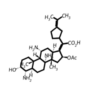 CC(=O)O[C@H]1C[C@@]2(C)[C@@H](C[C@@H](N)[C@H]3[C@@]4(C)CC[C@@H](O)[C@@H](N)[C@@H]4CC[C@@]32N)/C1=C(/C(=O)O)C1CCC(=C(C)C)C1